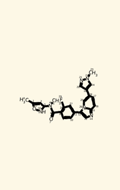 CC1=CC(N(C)C(=O)c2ccc(-c3cnc4ccc(-c5cnn(C)c5)cn34)cc2F)NO1